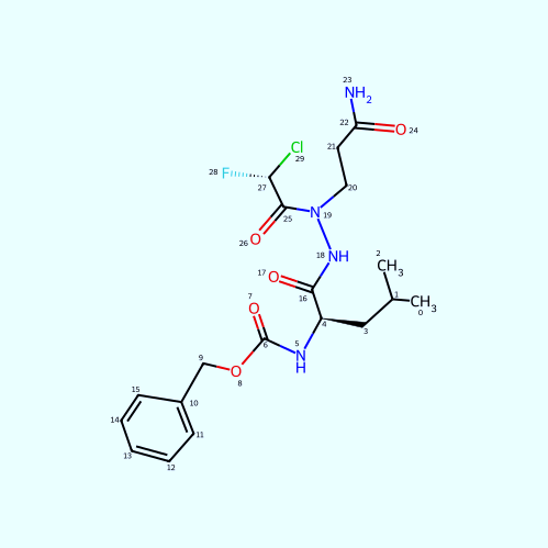 CC(C)C[C@@H](NC(=O)OCc1ccccc1)C(=O)NN(CCC(N)=O)C(=O)[C@H](F)Cl